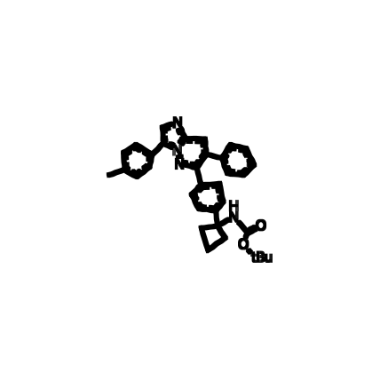 Cc1ccc(-c2cnc3cc(-c4ccccc4)c(-c4ccc(C5(NC(=O)OC(C)(C)C)CCC5)cc4)nn23)cc1